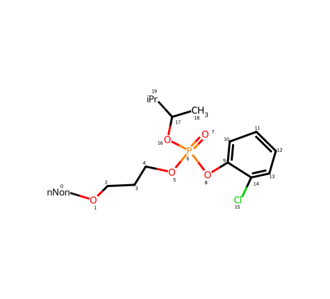 CCCCCCCCCOCCCOP(=O)(Oc1ccccc1Cl)OC(C)C(C)C